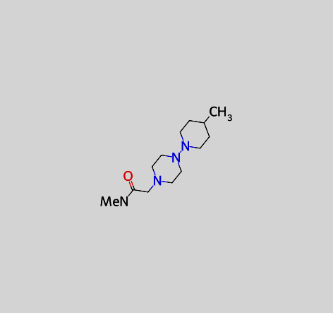 CNC(=O)CN1CCN(N2CCC(C)CC2)CC1